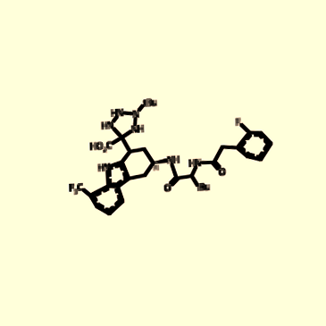 CCC(C)C(NC(=O)Cc1ccccc1F)C(=O)N[C@H]1Cc2c([nH]c3c(C(F)(F)F)cccc23)C(C2(C(=O)O)NNN(C(C)(C)C)N2)C1